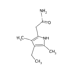 CCc1c(C)[nH]c(CC(N)=O)c1C